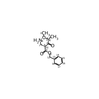 CON(C)C(=O)[C@H](CN)C(=O)OCc1ccccc1